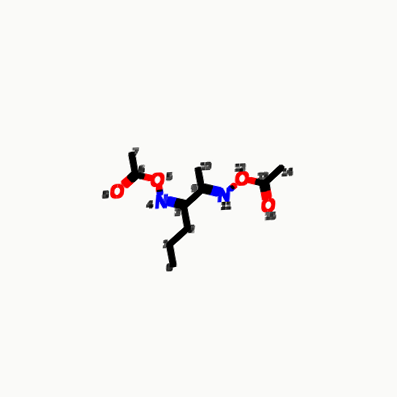 CCCC(=NOC(C)=O)C(C)=NOC(C)=O